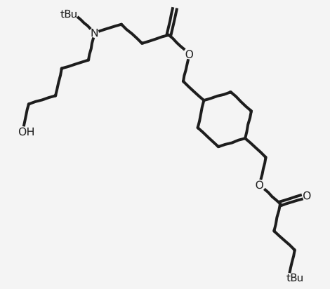 C=C(CCN(CCCCO)C(C)(C)C)OCC1CCC(COC(=O)CCC(C)(C)C)CC1